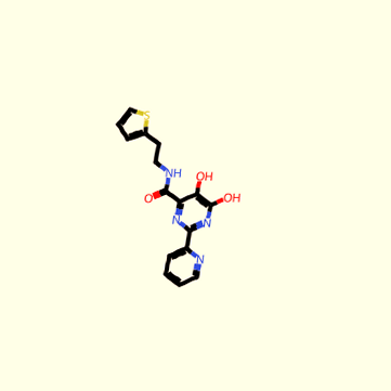 O=C(NCCc1cccs1)c1nc(-c2ccccn2)nc(O)c1O